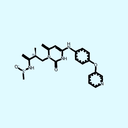 C=C(N[S+](C)[O-])[C@@H](C)CN1C(=C)C=C(Nc2ccc(Oc3cccnc3)cc2)NC1=O